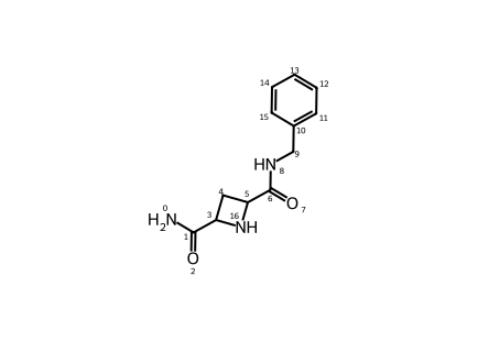 NC(=O)C1CC(C(=O)NCc2ccccc2)N1